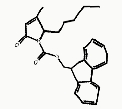 CCCCCC1C(C)=CC(=O)N1C(=O)OCC1c2ccccc2-c2ccccc21